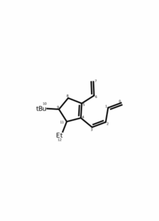 C=C/C=C\C1=C(C=C)CC(C(C)(C)C)C1CC